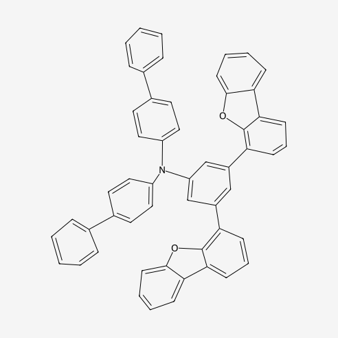 c1ccc(-c2ccc(N(c3ccc(-c4ccccc4)cc3)c3cc(-c4cccc5c4oc4ccccc45)cc(-c4cccc5c4oc4ccccc45)c3)cc2)cc1